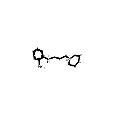 Nc1ccccc1NCCCN1CC[CH]CC1